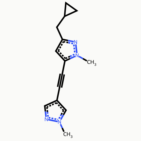 Cn1cc(C#Cc2cc(CC3CC3)nn2C)cn1